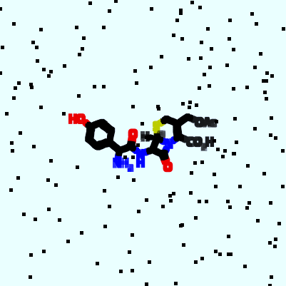 CC(=O)OCC1=C(C(=O)O)N2C(=O)C(NC(=O)C(N)c3ccc(O)cc3)[C@@H]2SC1